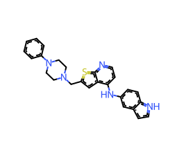 c1ccc(N2CCN(Cc3cc4c(Nc5ccc6[nH]ccc6c5)ccnc4s3)CC2)cc1